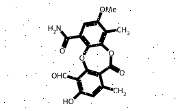 COc1cc(C(N)=O)c2c(c1C)OC(=O)c1c(C)cc(O)c(C=O)c1O2